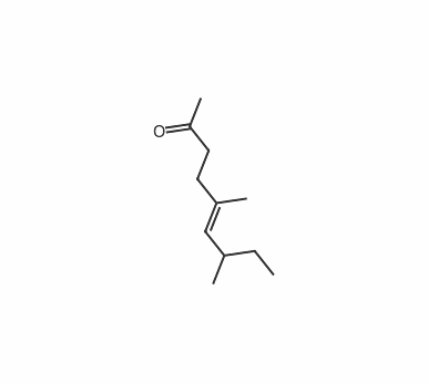 CCC(C)/C=C(\C)CCC(C)=O